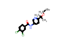 CC(C)(C)[SiH2]OC(C)(C)c1ccc(NC(=O)c2ccc(Cl)c(Cl)c2)cn1